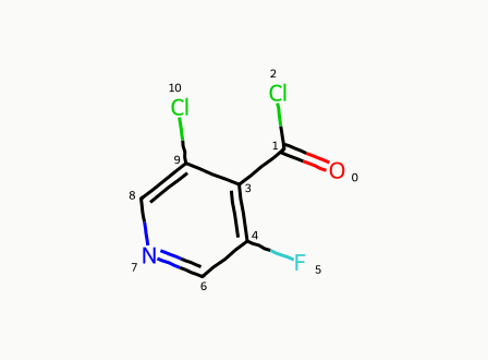 O=C(Cl)c1c(F)cncc1Cl